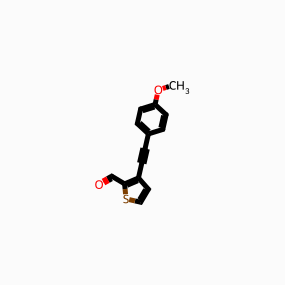 COc1ccc(C#Cc2ccsc2C=O)cc1